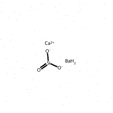 O=[Si]([O-])[O-].[BaH2].[Ca+2]